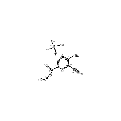 CCCCCCCCCCOC(=O)c1ccc(CCCC)c([N+]#N)c1.F[B-](F)(F)F